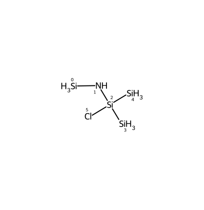 [SiH3]N[Si]([SiH3])([SiH3])Cl